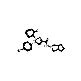 C[C@H]1C(C(=O)NN2CC3CCCC3C2)=NN(c2ccccc2Cl)[C@H]1c1ccc(O)cc1